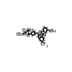 CC(C)(C)OC(=O)N(N)C(=O)c1ccc(Cc2cc3cc(C(F)(F)F)ccc3n2S(=O)(=O)c2cccc(C(C)(C)C)c2)cc1